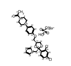 CC(=O)N1CCN(c2ccc(OC[C@H]3CO[C@](Cn4ccnc4)(c4ccc(Cl)cc4Cl)O3)cc2)CC1.O=S(=O)([O-])O.[Na+]